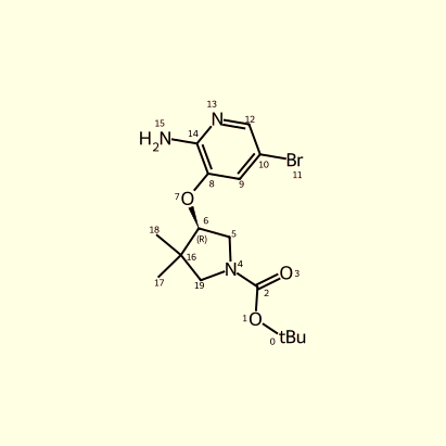 CC(C)(C)OC(=O)N1C[C@H](Oc2cc(Br)cnc2N)C(C)(C)C1